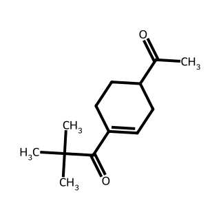 CC(=O)C1CC=C(C(=O)C(C)(C)C)CC1